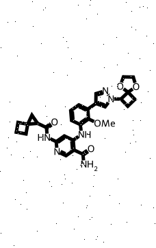 COc1c(Nc2cc(NC(=O)C3CC34CCC4)ncc2C(N)=O)cccc1-c1cnn(C2CCC23OCCO3)c1